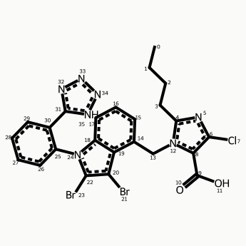 CCCCc1nc(Cl)c(C(=O)O)n1Cc1cccc2c1c(Br)c(Br)n2-c1ccccc1-c1nnn[nH]1